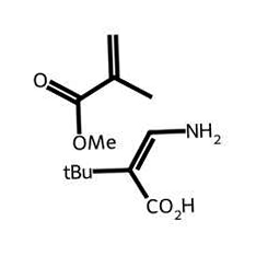 C=C(C)C(=O)OC.CC(C)(C)C(=CN)C(=O)O